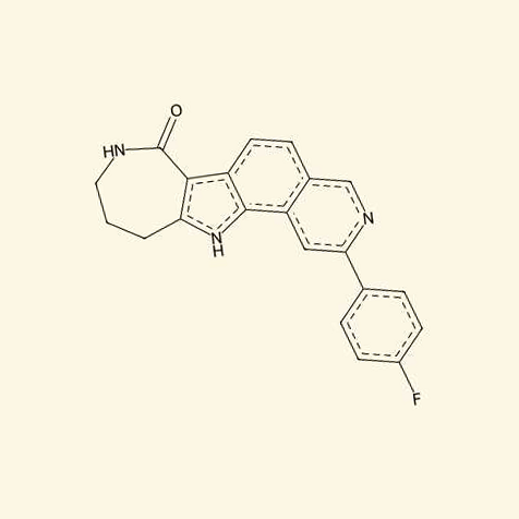 O=C1NCCCc2[nH]c3c(ccc4cnc(-c5ccc(F)cc5)cc43)c21